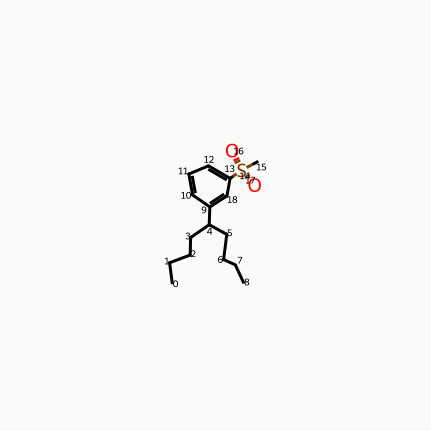 CCCCC(CCCC)c1cccc(S(C)(=O)=O)c1